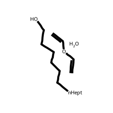 C=COC=C.CCCCCCCCCCCCCO.O